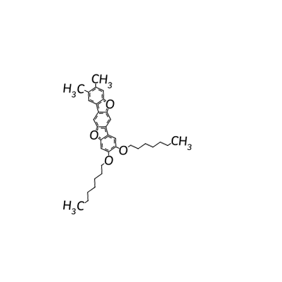 CCCCCCCOc1cc2oc3cc4c(cc3c2cc1OCCCCCCC)oc1cc(C)c(C)cc14